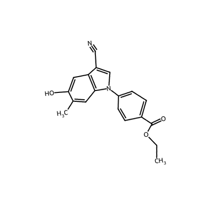 CCOC(=O)c1ccc(-n2cc(C#N)c3cc(O)c(C)cc32)cc1